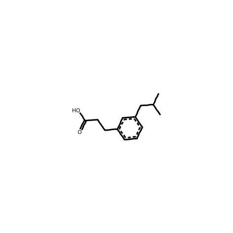 CC(C)Cc1cccc(CCC(=O)O)c1